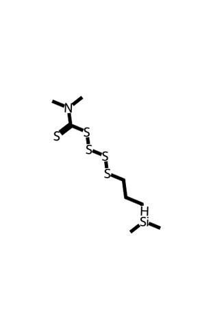 CN(C)C(=S)SSSSCCC[SiH](C)C